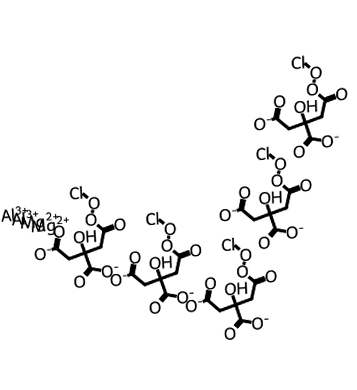 O=C([O-])CC(O)(CC(=O)OOCl)C(=O)[O-].O=C([O-])CC(O)(CC(=O)OOCl)C(=O)[O-].O=C([O-])CC(O)(CC(=O)OOCl)C(=O)[O-].O=C([O-])CC(O)(CC(=O)OOCl)C(=O)[O-].O=C([O-])CC(O)(CC(=O)OOCl)C(=O)[O-].[Al+3].[Al+3].[Mg+2].[Mg+2]